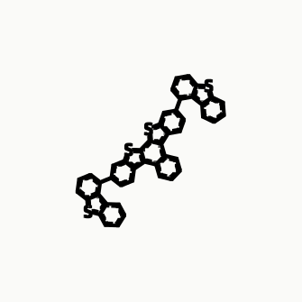 c1ccc2c(c1)sc1cccc(-c3ccc4c(c3)sc3c5sc6cc(-c7cccc8sc9ccccc9c78)ccc6c5c5ccccc5c43)c12